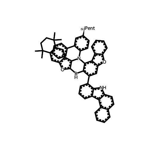 CCC[C@H](C)c1ccc(N2c3c(oc4cc5c(cc34)C(C)(C)CCC5(C)C)Bc3c(-c4cccc5c4[nH]c4ccc6ccccc6c45)cc4oc5ccccc5c4c32)c(-c2ccccc2)c1